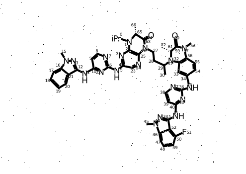 CC(C)N1c2nc(Nc3nccc(Nc4nn(C)c5ccccc45)n3)cnc2N(CCC(C)N2c3cc(Nc4nccc(Nc5nn(C)c6cccc(F)c56)n4)ccc3N(C)C(=O)[C@H]2C)C(=O)[C@H]1C